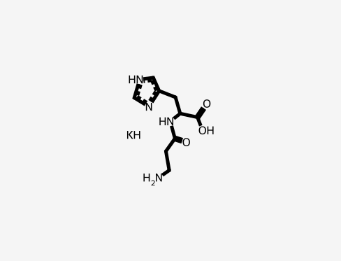 NCCC(=O)NC(Cc1c[nH]cn1)C(=O)O.[KH]